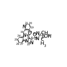 CC(C)(O)c1noc(-c2ncn3c2c(=O)n(Cc2ccccn2)c2ccccc23)n1